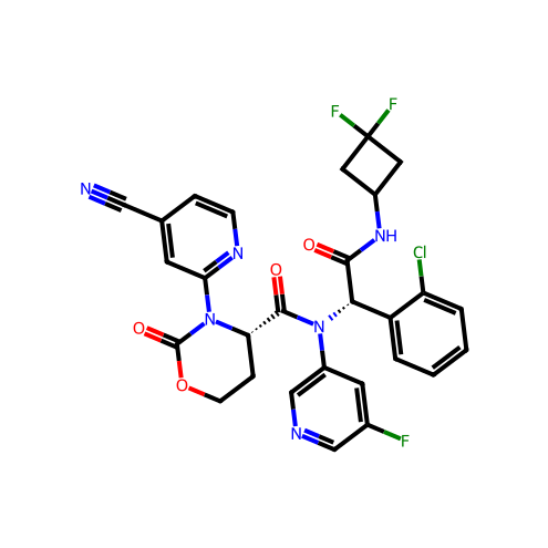 N#Cc1ccnc(N2C(=O)OCC[C@H]2C(=O)N(c2cncc(F)c2)[C@H](C(=O)NC2CC(F)(F)C2)c2ccccc2Cl)c1